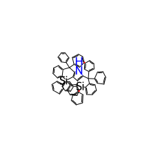 c1ccc(C2(c3ccccc3)c3ccccc3[Si](c3ccccc3)(c3ccccc3)c3c2[nH]c2c3[Si](c3ccccc3)(c3ccccc3)c3ccccc3C2(c2ccccc2)c2ccccc2)cc1